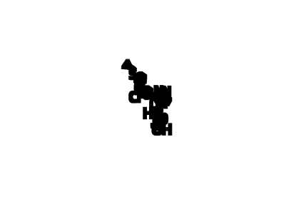 CC(C)(O)CC(=O)NCCn1ccc2ncnc(Nc3ccc(Oc4cccc(SCC5CC5)c4)c(Cl)c3)c21